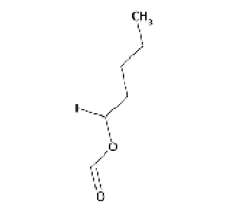 CCCCC(I)OC=O